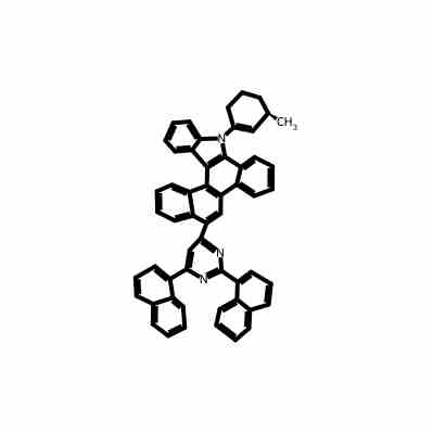 C[C@H]1C=C(n2c3ccccc3c3c4c5ccccc5c(-c5cc(-c6cccc7ccccc67)nc(-c6cccc7ccccc67)n5)cc4c4ccccc4c32)CCC1